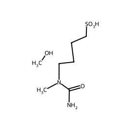 CN(CCCCS(=O)(=O)O)C(N)=O.CO